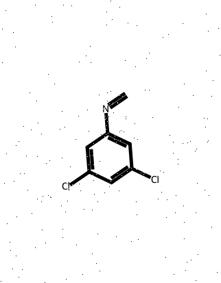 C=Nc1cc(Cl)cc(Cl)c1